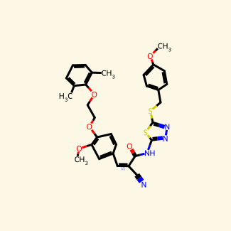 COc1ccc(CSc2nnc(NC(=O)/C(C#N)=C\c3ccc(OCCOc4c(C)cccc4C)c(OC)c3)s2)cc1